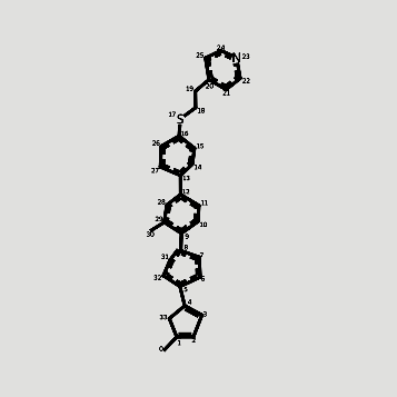 CC1=CC=C(c2ccc(-c3ccc(-c4ccc(SCCc5ccncc5)cc4)cc3C)cc2)C1